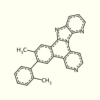 Cc1ccccc1-c1cc2c3cnccc3n3c4ncccc4nc3c2cc1C